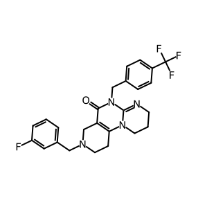 O=C1C2=C(CCN(Cc3cccc(F)c3)C2)N2CCCN=C2N1Cc1ccc(C(F)(F)F)cc1